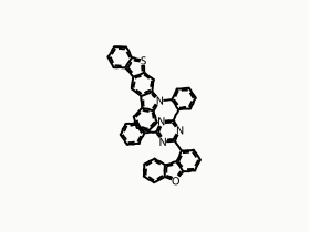 c1ccc(-c2nc(-c3ccccc3-n3c4ccccc4c4cc5c(cc43)sc3ccccc35)nc(-c3cccc4oc5ccccc5c34)n2)cc1